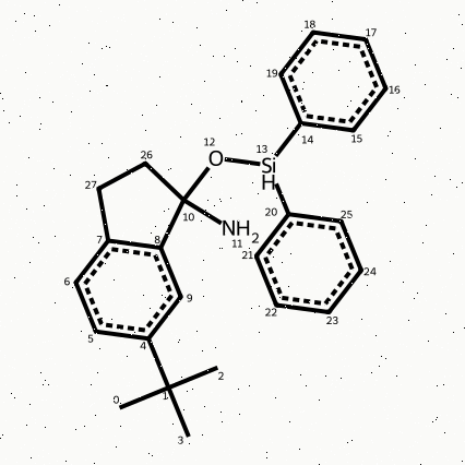 CC(C)(C)c1ccc2c(c1)C(N)(O[SiH](c1ccccc1)c1ccccc1)CC2